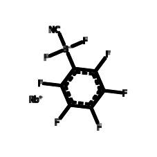 N#C[B-](F)(F)c1c(F)c(F)c(F)c(F)c1F.[Rb+]